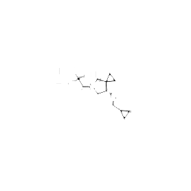 CC(C)(C)CN1C[C@H](NCC2CC2)C2(CC2)C1